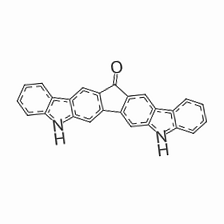 O=C1c2cc3c(cc2-c2cc4[nH]c5ccccc5c4cc21)[nH]c1ccccc13